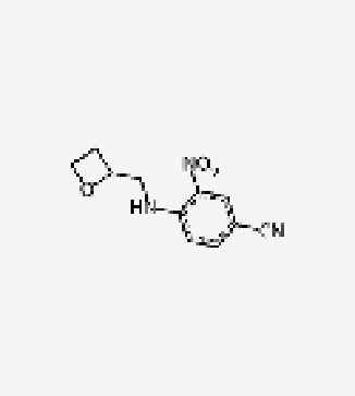 N#Cc1ccc(NCC2CCO2)c([N+](=O)[O-])c1